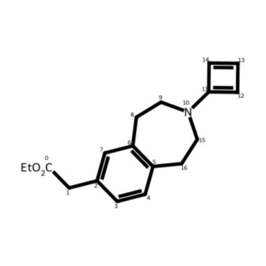 CCOC(=O)Cc1ccc2c(c1)CCN(C1=CC=C1)CC2